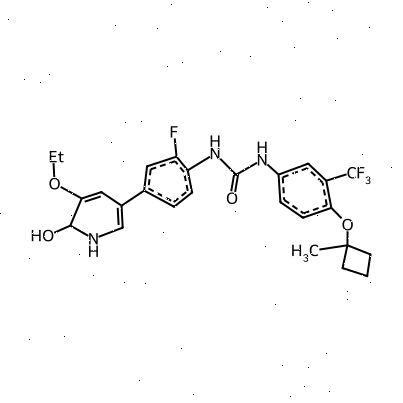 CCOC1=CC(c2ccc(NC(=O)Nc3ccc(OC4(C)CCC4)c(C(F)(F)F)c3)c(F)c2)=CNC1O